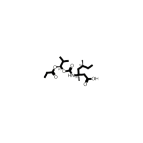 CCC(=O)O[C@H](OC(=O)N[C@@](C)(CC(=O)O)C[C@@H](C)CC)C(C)C